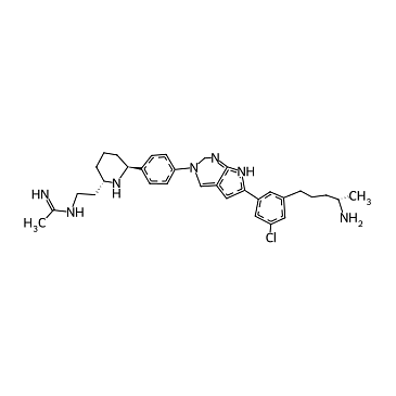 CC(=N)NCC[C@@H]1CCC[C@@H](c2ccc(N3C=c4cc(-c5cc(Cl)cc(CCC[C@H](C)N)c5)[nH]c4=NC3)cc2)N1